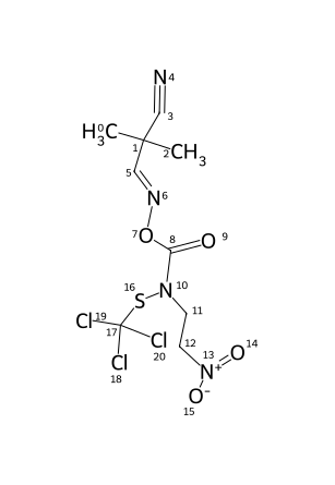 CC(C)(C#N)C=NOC(=O)N(CC[N+](=O)[O-])SC(Cl)(Cl)Cl